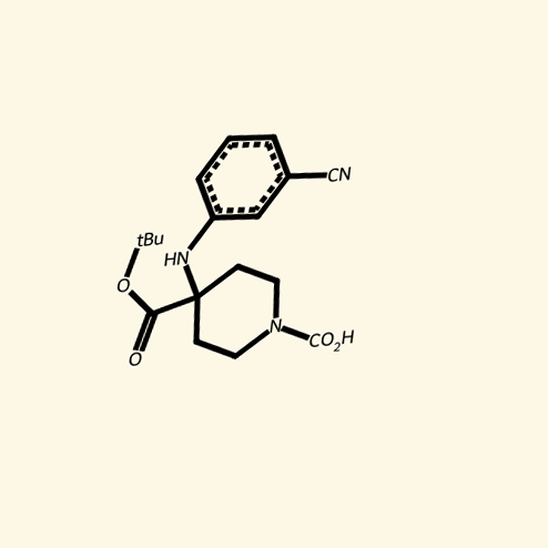 CC(C)(C)OC(=O)C1(Nc2cccc(C#N)c2)CCN(C(=O)O)CC1